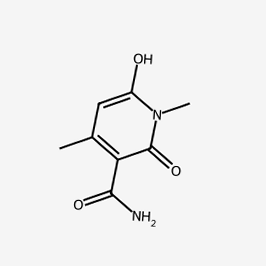 Cc1cc(O)n(C)c(=O)c1C(N)=O